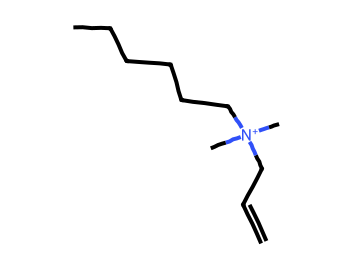 C=CC[N+](C)(C)CCCCCC